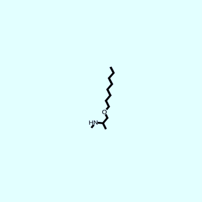 CCCCCCCCOCC(C)NC